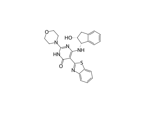 O=c1[nH]c(N2CCOCC2)nc(N[C@H]2c3ccccc3C[C@H]2O)c1-c1nc2ccccc2s1